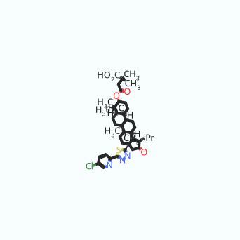 CC(C)C1=C2[C@H]3CC[C@@H]4[C@@]5(C)CC[C@H](OC(=O)CC(C)(C)C(=O)O)C(C)(C)[C@@H]5CC[C@@]4(C)[C@]3(C)CC[C@@]2(c2nnc(-c3ccc(Cl)cn3)s2)CC1=O